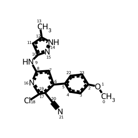 COc1ccc(-c2cc(Nc3cc(C)[nH]n3)nc(Cl)c2C#N)cc1